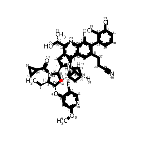 CC[C@@H]1[C@@H](Oc2cc(OC)ncc2F)C[C@H](c2cc3c([C@@H](C)O)nc4c(F)c(-c5cccc(Cl)c5Cl)c(CCC#N)cc4c3n2[C@H]2[C@H]3CN[C@@H]2C3)N1C(=O)C1CC1